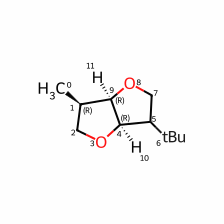 C[C@@H]1CO[C@@H]2C(C(C)(C)C)CO[C@H]12